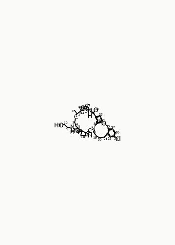 CC1CCC[C@](O)(CNCCO)[C@@H]2CC[C@H]2CN2CCCCc3cc(Cl)ccc3COc3ccc(cc32)C(=O)NS(=O)(=O)[C@@H]1C